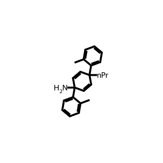 CCCC1(c2ccccc2C)C=CC(N)(c2ccccc2C)C=C1